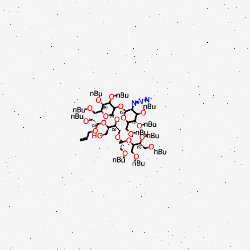 C=CCO[C@H](COCCCC)OC(CO)[C@H](CO[C@@H](COCCCC)OC(COCCCC)[C@H](COCCCC)OCCCC)O[C@@H]1OC(COCCCC)[C@@H](OCCCC)C(OCCCC)C1O[C@@H]1OC(COCCCC)[C@@H](OCCCC)C(OCCCC)C1N=[N+]=[N-]